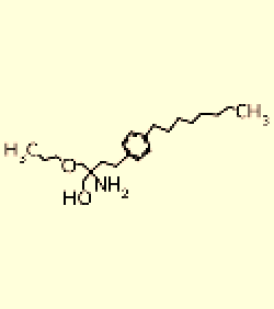 CCCCCCCCc1ccc(CCC(N)(CO)COCCC)cc1